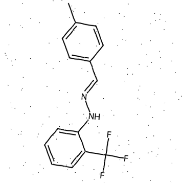 Cc1ccc(/C=N/Nc2ccccc2C(F)(F)F)cc1